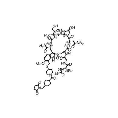 CCC(=O)N[C@H](C(=O)NCC(=O)N[C@H]1C[S+]([O-])c2[nH]c3c(CSC4CCN(C(=O)C5CCC(CN6C(=O)CCC6=O)CC5)CC4)c(OC)ccc3c2C[C@@H](C(N)=O)NC(=O)[C@H]([C@@H](C)[C@@H](O)CO)NC(=O)[C@@H]2C[C@@H](O)CN2C(=O)[C@H](CC(N)=O)NC1=O)[C@@H](C)CC